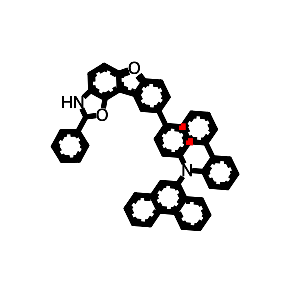 c1ccc(-c2ccccc2N(c2ccc(-c3ccc4oc5ccc6c(c5c4c3)OC(c3ccccc3)N6)cc2)c2cc3ccccc3c3ccccc23)cc1